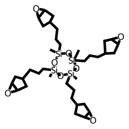 C[Si]1(CCCC2CC3OC3C2)O[Si](C)(CCCC2CC3OC3C2)O[Si](C)(CCCC2CC3OC3C2)O[Si](C)(CCCC2CC3OC3C2)O1